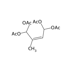 CC(=O)OC(C=C(C)C(OC(C)=O)OC(C)=O)OC(C)=O